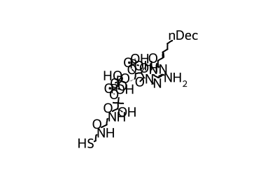 CCCCCCCCCCCCCC=CC(=O)c1nc(N)c2ncn([C@@H]3O[C@H](COP(=O)(O)OP(=O)(O)OCC(C)(C)[C@@H](O)C(=O)NCCC(=O)NCCS)[C@@H](OP(=O)(O)O)[C@H]3O)c2n1